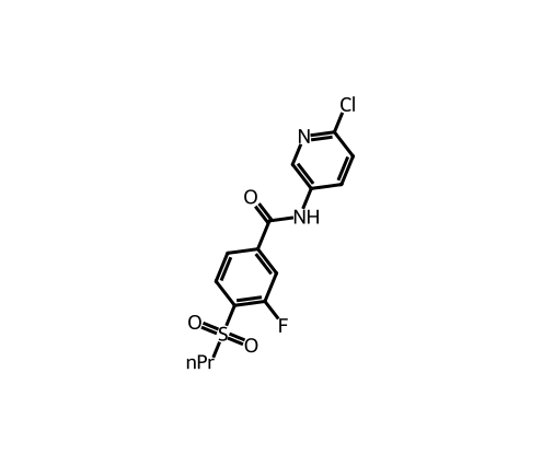 CCCS(=O)(=O)c1ccc(C(=O)Nc2ccc(Cl)nc2)cc1F